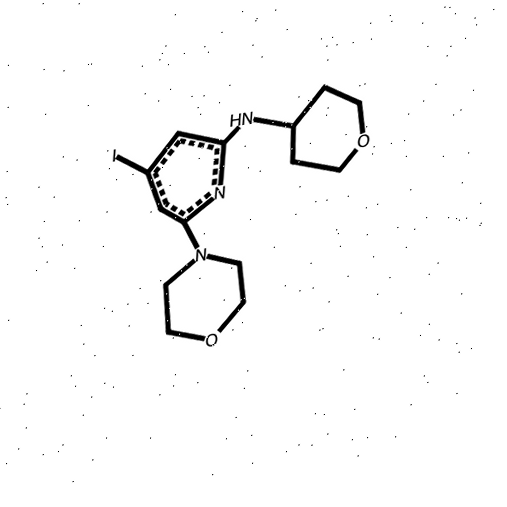 Ic1cc(NC2CCOCC2)nc(N2CCOCC2)c1